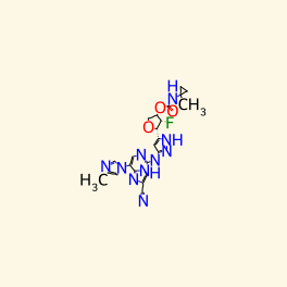 Cc1cn(-c2cnc(Nc3cc([C@@H]4OC[C@H](OC(=O)NC5(C)CC5)[C@@H]4F)[nH]n3)n3cc(C#N)nc23)cn1